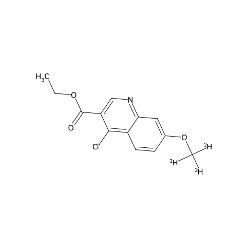 [2H]C([2H])([2H])Oc1ccc2c(Cl)c(C(=O)OCC)cnc2c1